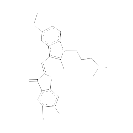 COc1ccc2c(c1)c(/C=C1\Oc3cc(O)c(Br)cc3C1=O)c(C)n2CCCN(C)C